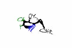 Cc1c(C2CC2CC=O)ncc(F)c1Cl